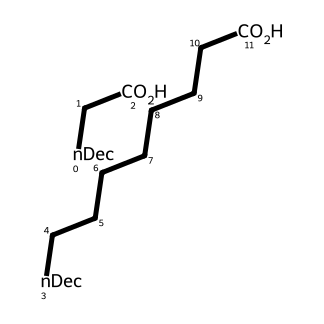 CCCCCCCCCCCC(=O)O.CCCCCCCCCCCCCCCCCC(=O)O